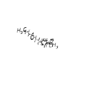 CCCCCOCCCCc1ccc(C(C)=O)cc1